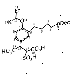 CCCCCCCCCCCCCCc1ccccc1O[CH]([K])CC.O=C(O)CC(C(=O)O)S(=O)(=O)O